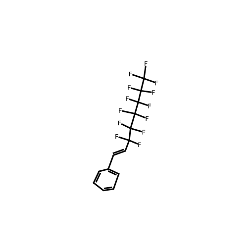 FC(F)(F)C(F)(F)C(F)(F)C(F)(F)C(F)(F)C(F)(F)C=Cc1ccccc1